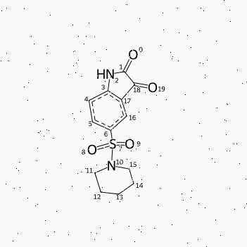 O=C1Nc2ccc(S(=O)(=O)N3CCCCC3)cc2C1=O